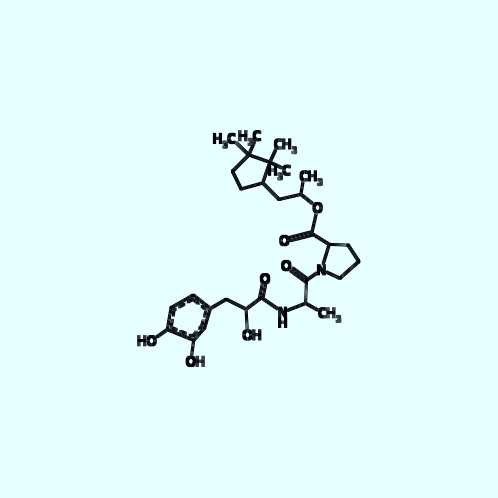 CC(CC1CCC(C)(C)C1(C)C)OC(=O)C1CCCN1C(=O)C(C)NC(=O)C(O)Cc1ccc(O)c(O)c1